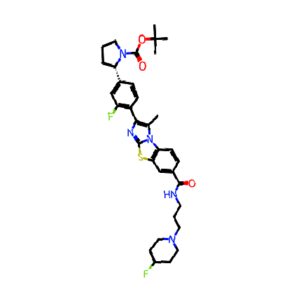 Cc1c(-c2ccc([C@@H]3CCCN3C(=O)OC(C)(C)C)cc2F)nc2sc3cc(C(=O)NCCCN4CCC(F)CC4)ccc3n12